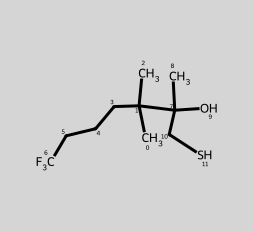 CC(C)(CCCC(F)(F)F)C(C)(O)CS